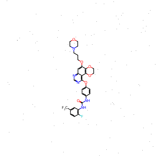 O=C(Nc1ccc(Oc2ncnc3cc(OCCCN4CCOCC4)c4c(c23)OCCO4)cc1)Nc1cc(C(F)(F)F)ccc1F